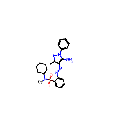 CCN(C1CCCCC1)S(=O)(=O)c1ccccc1/N=N/c1c(C)nn(-c2ccccc2)c1N